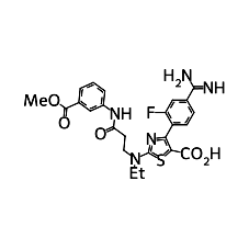 CCN(CCC(=O)Nc1cccc(C(=O)OC)c1)c1nc(-c2ccc(C(=N)N)cc2F)c(C(=O)O)s1